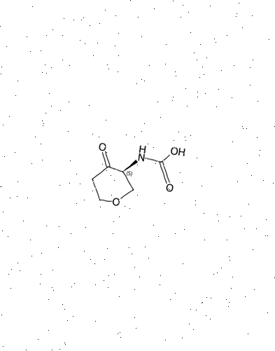 O=C(O)N[C@H]1COCCC1=O